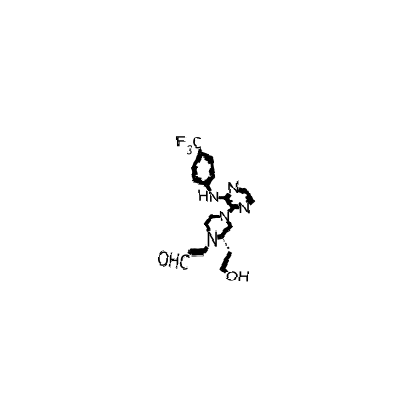 O=CC=CN1CCN(c2nccnc2Nc2ccc(C(F)(F)F)cc2)C[C@@H]1CCO